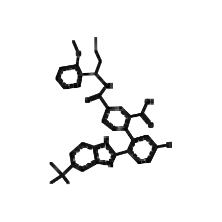 CCCC(NC(=O)c1ccc(-c2cc(Cl)ccc2-c2nc3cc(C(C)(C)C)ccc3[nH]2)c(C(=O)O)c1)c1ccccc1OC